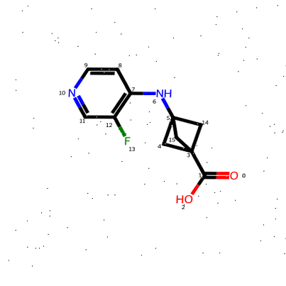 O=C(O)C12CC(Nc3ccncc3F)(C1)C2